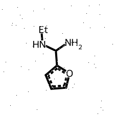 CCNC(N)c1ccco1